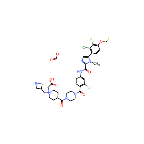 Cn1c(-c2ccc(OCF)c(F)c2Cl)cnc1C(=O)Nc1ccc(C(=O)N2CCN(C(=O)C3CC[N+](CC(=O)O)(CC4CNC4)CC3)CC2)c(Cl)c1.O=C[O-]